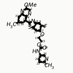 COc1cnc2c(-c3nc4cc(F)c(OCCOC(=O)Nc5ccc(C)nc5)cc4s3)cc(C)cc2n1